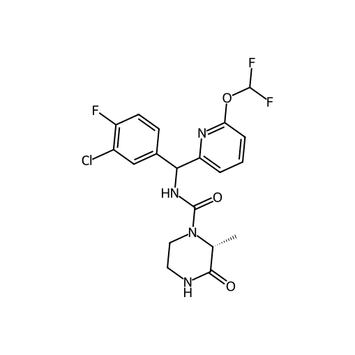 C[C@@H]1C(=O)NCCN1C(=O)NC(c1ccc(F)c(Cl)c1)c1cccc(OC(F)F)n1